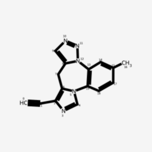 C#Cc1ncn2c1Cc1cnnn1-c1cc(C)ccc1-2